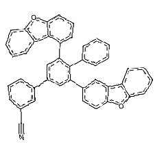 N#Cc1cccc(-c2cc(-c3ccc4oc5ccccc5c4c3)c(-c3ccccc3)c(-c3cccc4oc5ccccc5c34)c2)c1